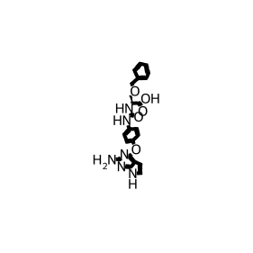 Nc1nc(Oc2ccc(NC(=O)N[C@@H](COCc3ccccc3)C(=O)O)cc2)c2cc[nH]c2n1